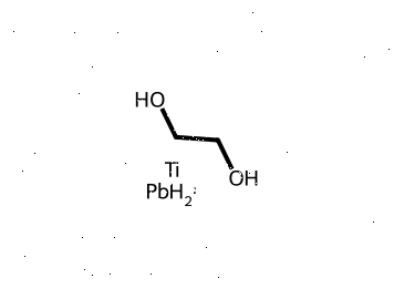 OCCO.[PbH2].[Ti]